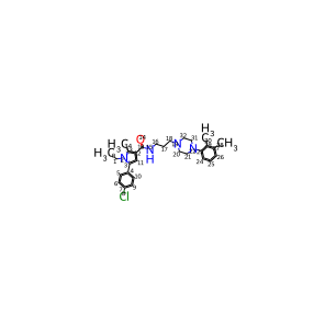 CCn1c(-c2ccc(Cl)cc2)cc(C(=O)NCCCN2CCN(c3cccc(C)c3C)CC2)c1C